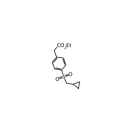 CCOC(=O)Cc1ccc(S(=O)(=O)CC2CC2)cc1